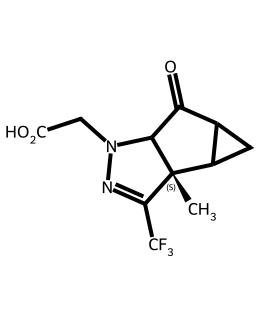 C[C@@]12C(C(F)(F)F)=NN(CC(=O)O)C1C(=O)C1CC12